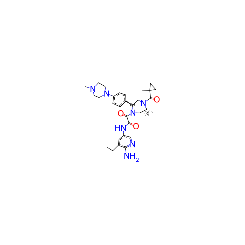 CCc1cc(NC(=O)C(=O)N2C[C@@H](C)N(C(=O)C3(C)CC3)C[C@@H]2c2ccc(N3CCN(C)CC3)cc2)cnc1N